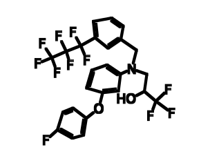 OC(CN(Cc1cccc(C(F)(F)C(F)(F)C(F)(F)F)c1)c1cccc(Oc2ccc(F)cc2)c1)C(F)(F)F